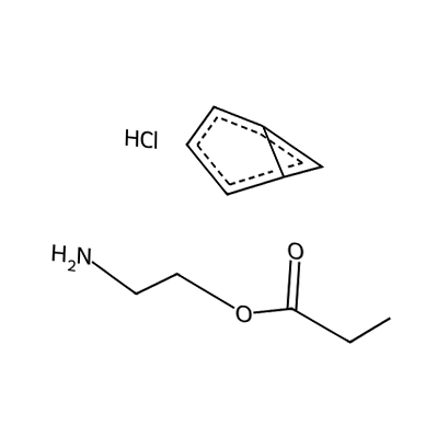 CCC(=O)OCCN.Cl.c1cc2cc-2c1